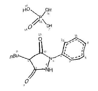 CCCCC1C(=O)NN(c2ccccc2)C1=O.O=P(O)(O)O